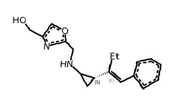 CC/C(=C\c1ccccc1)[C@@H]1CC1NCc1nc(CO)co1